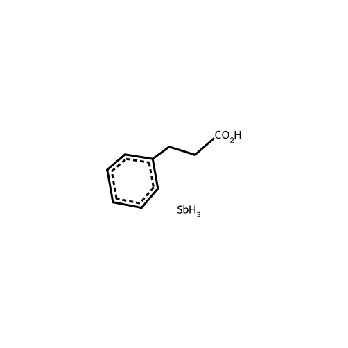 O=C(O)CCc1ccccc1.[SbH3]